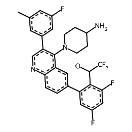 Cc1cc(F)cc(-c2cnc3ccc(-c4cc(F)cc(F)c4C([O])C(F)(F)F)cc3c2N2CCC(N)CC2)c1